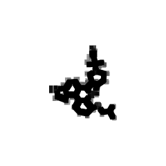 CC(C)COc1cccc2c3c4cc[nH]c4ccc3c3c4c(nn3c12)CCN(C(C)(C)C#N)C4